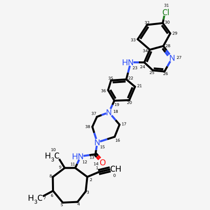 C#CC1CCCC(C)CC(C)C1NC(=O)N1CCN(c2ccc(Nc3ccnc4cc(Cl)ccc34)cc2)CC1